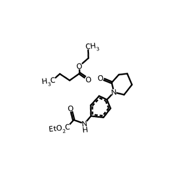 CCCC(=O)OCC.CCOC(=O)C(=O)Nc1ccc(N2CCCCC2=O)cc1